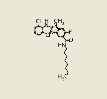 CCCCCCCCNC(=O)c1cc2nc(Nc3c(Cl)cccc3Cl)n(C)c2cc1F